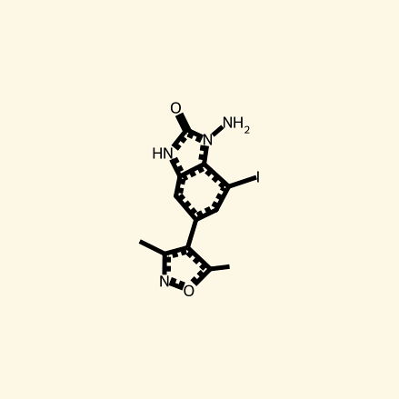 Cc1noc(C)c1-c1cc(I)c2c(c1)[nH]c(=O)n2N